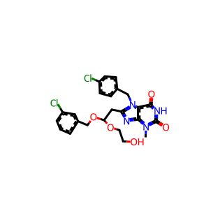 Cn1c(=O)[nH]c(=O)c2c1nc(CC(OCCO)OCc1cccc(Cl)c1)n2Cc1ccc(Cl)cc1